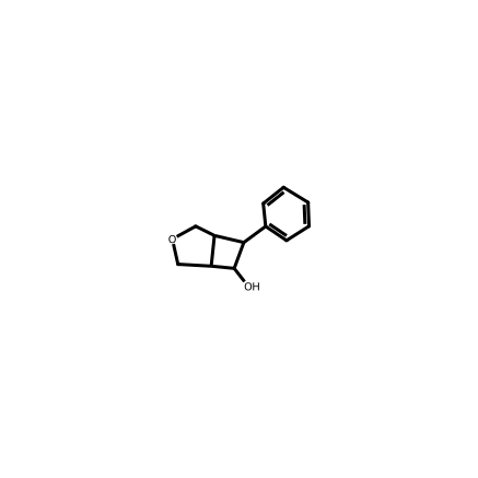 OC1C2COCC2C1c1ccccc1